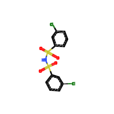 O=S(=O)(NS(=O)(=O)c1cccc(Cl)c1)c1cccc(Cl)c1